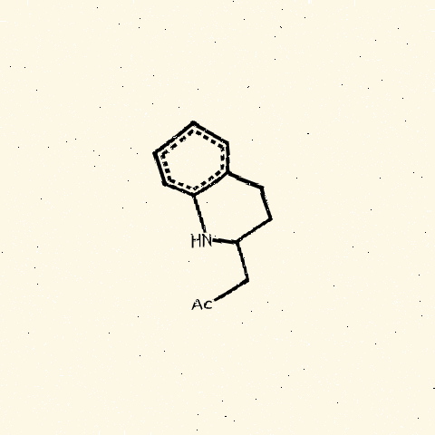 CC(=O)CC1CCc2ccccc2N1